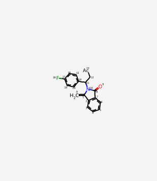 C=C1c2ccccc2C(=O)N1C(CC(C)=O)c1ccc(F)cc1